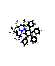 CC1(C)CC(C)(C)N2C3N1c1c(-c4ccccc4)c(-c4ccccc4)c(-c4ccccc4)c(-c4ccccc4)c1N3C(C)(C)CC2(C)C